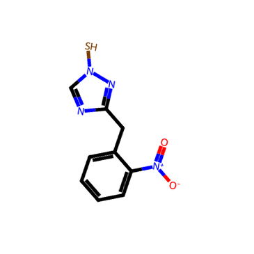 O=[N+]([O-])c1ccccc1Cc1ncn(S)n1